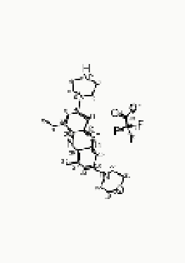 CCc1cc(N2CCNCC2)cc2[s+]c3cc(N4CCOCC4)cc(C)c3nc12.O=C([O-])C(F)(F)F